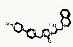 CC(=O)N1CCN(c2ccc(CN3CCN(C[C@H](O)CN4CCc5ccccc5C4)C3=O)nc2)CC1